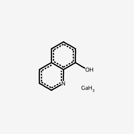 Oc1cccc2cccnc12.[GaH3]